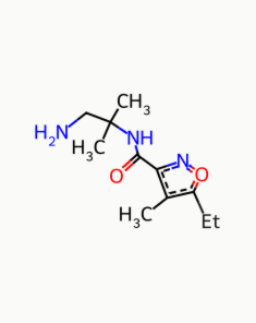 CCc1onc(C(=O)NC(C)(C)CN)c1C